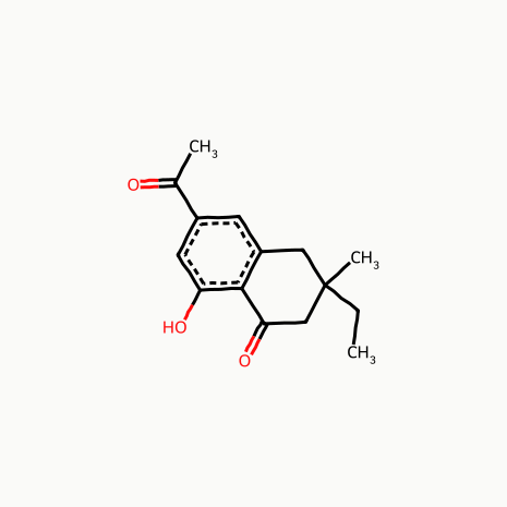 CCC1(C)CC(=O)c2c(O)cc(C(C)=O)cc2C1